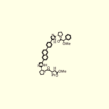 COC(=O)N[C@@H](C(C)C)C1OC1N1CCC[C@H]1c1ncc(-c2ccc3cc(-c4ccc(-c5cnc([C@@H]6CCCN6C(=O)[C@H](OC)c6ccccc6)[nH]5)cc4)ccc3c2)[nH]1